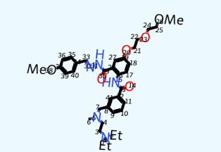 CCN(CC)CCN(C)Cc1cccc(C(=O)Nc2ccc(OCCOCCOC)cc2C(=O)N/N=C/c2ccc(OC)cc2)c1